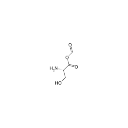 N[C@@H](CO)C(=O)OC=O